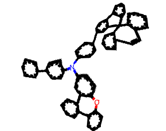 C1=Cc2ccccc2C2(c3ccccc31)c1ccccc1-c1ccc(-c3ccc(N(c4ccc(-c5ccccc5)cc4)c4ccc5c(c4)-c4ccccc4-c4ccccc4O5)cc3)cc12